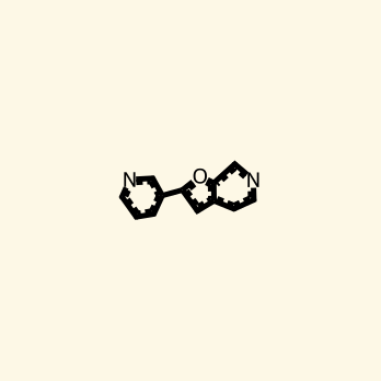 c1cncc(-c2cc3ccncc3o2)c1